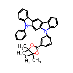 CC1(C)OB(c2cccc(-n3c4ccccc4c4cc5c6ccccc6n(-c6ccccc6)c5cc43)c2)OC1(C)C